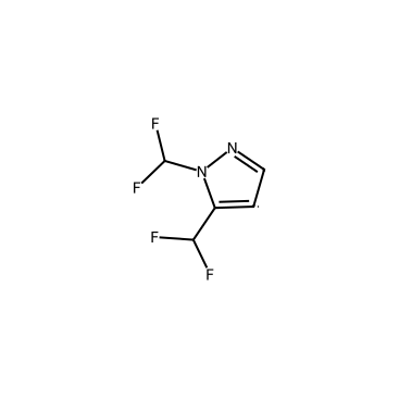 FC(F)c1[c]cnn1C(F)F